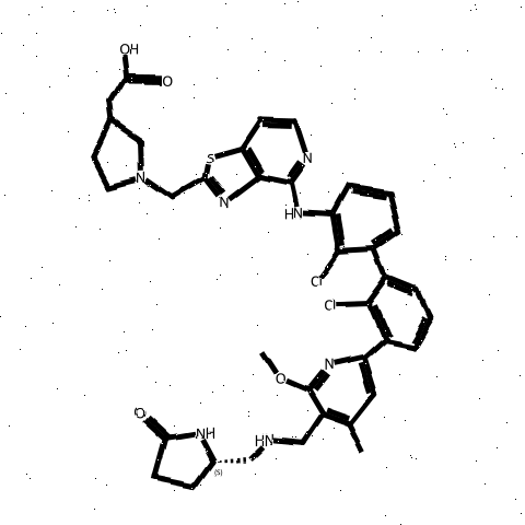 COc1nc(-c2cccc(-c3cccc(Nc4nccc5sc(CN6CCC(CC(=O)O)C6)nc45)c3Cl)c2Cl)cc(C)c1CNC[C@@H]1CCC(=O)N1